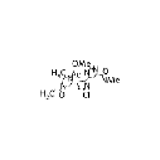 C=CC(=O)N1C[C@@H](C)N(C(C)=O)[C@H](c2cc(Cl)nc(-c3cc(C(=O)NC)nc(OC)n3)c2)C1